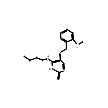 C=C(N)/N=C\C(OCc1ncccc1OC)=C(/C)NCCCC